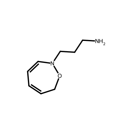 NCCCN1C=CC=CCO1